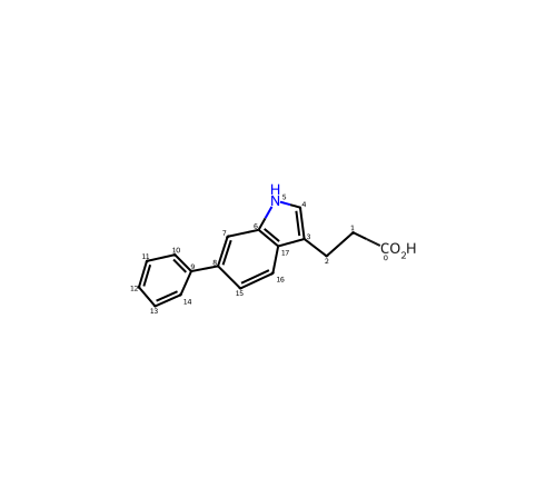 O=C(O)CCc1c[nH]c2cc(-c3ccccc3)ccc12